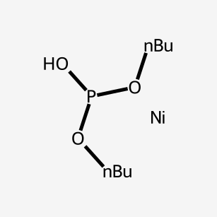 CCCCOP(O)OCCCC.[Ni]